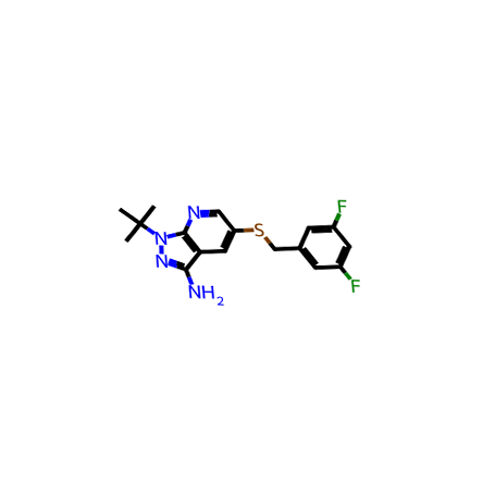 CC(C)(C)n1nc(N)c2cc(SCc3cc(F)cc(F)c3)cnc21